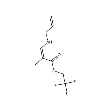 C=CCNC=C(C)C(=O)OCC(F)(F)F